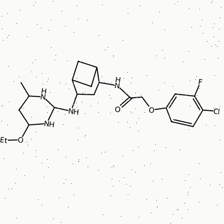 CCOC1CC(C)NC(NC2CC(NC(=O)COc3ccc(Cl)c(F)c3)C3CC2C3)N1